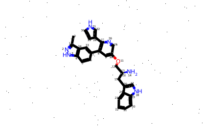 Cc1n[nH]c2ccc(-c3cc(OC[C@@H](N)Cc4c[nH]c5ccccc45)cnc3-c3cc[nH]c3)cc12